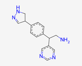 NCC(c1ccc(C2C=NNC2)cc1)c1cncnc1